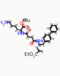 CCOC(=O)[C@H](C)C[C@@H](Cc1ccc(-c2ccccc2)cc1)NC(=O)CCC(=O)N[C@@H](CCCCN)C(=O)OC(C)(C)C